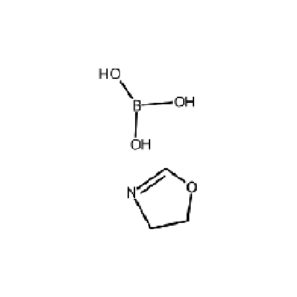 C1=NCCO1.OB(O)O